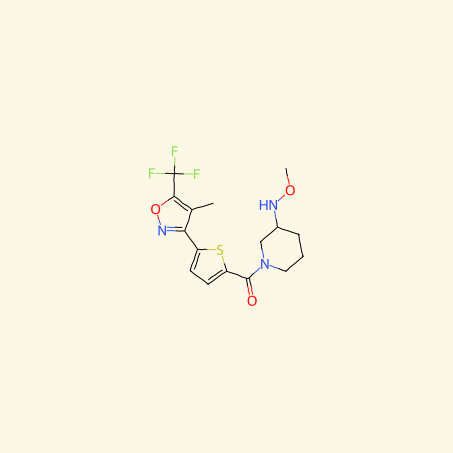 CONC1CCCN(C(=O)c2ccc(-c3noc(C(F)(F)F)c3C)s2)C1